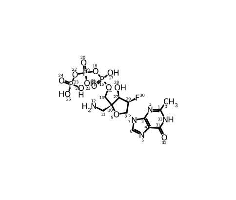 Cc1nc2c(ncn2[C@@H]2O[C@](CN)(COP(=O)(O)OP(=O)(O)OP(=O)(O)O)[C@@H](O)[C@H]2F)c(=O)[nH]1